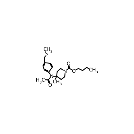 CCCCOC(=O)N1CCC(C)(N(C(C)=O)c2ccc(CSC)cc2)CC1